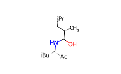 CC[C@@H](C)[C@H](NC(O)[C@@H](C)CC(C)C)C(C)=O